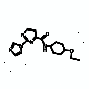 CCOC1CCC(NC(=O)c2ccnc(-n3ccnc3)n2)CC1